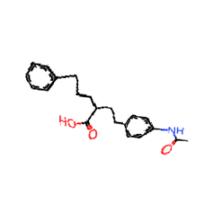 CC(=O)Nc1ccc(CCC(CCCc2ccccc2)C(=O)O)cc1